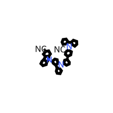 N#Cc1ccc2c(c1)c1ccccc1n2-c1ccc2c(c1)c1ccccc1n2-c1cccc(-c2ccc(-n3c4ccccc4c4ccccc43)c(C#N)c2)c1